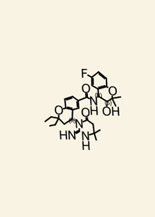 CCC1(CC)C[C@@H](N2C(=N)NC(C)(C)CC2=O)c2cc(C(=O)N[C@@H]3c4cc(F)ccc4OC(C)(C)[C@H]3O)ccc2O1